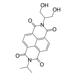 CC(C)N1C(=O)c2ccc3c4c(ccc(c24)C1=O)C(=O)N(C(CO)CO)C3=O